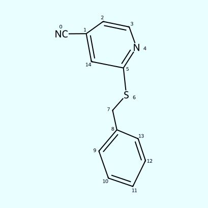 N#Cc1ccnc(SCc2ccccc2)c1